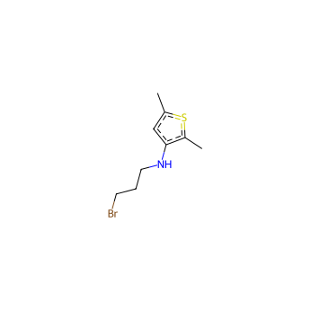 Cc1cc(NCCCBr)c(C)s1